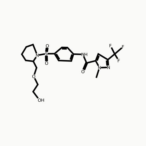 Cn1nc(C(F)(F)F)cc1C(=O)Nc1ccc(S(=O)(=O)N2CCCCC2COCCO)cc1